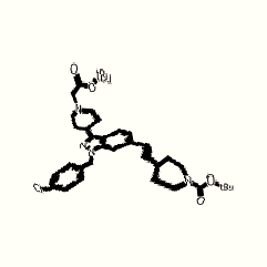 CC(C)(C)OC(=O)CN1CCC(c2nn(Cc3ccc(Cl)cc3)c3cc(C=CC4CCN(C(=O)OC(C)(C)C)CC4)ccc23)CC1